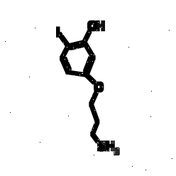 Oc1cc(OCCC[SiH3])ccc1I